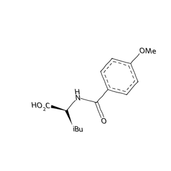 CC[C@H](C)[C@H](NC(=O)c1ccc(OC)cc1)C(=O)O